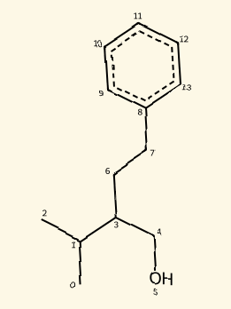 CC(C)C(CO)CCc1ccccc1